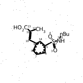 CCCCNS(=O)(=O)c1cccc(/C=C(\C)C(=O)O)c1